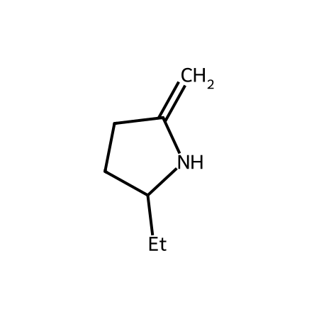 C=C1CCC(CC)N1